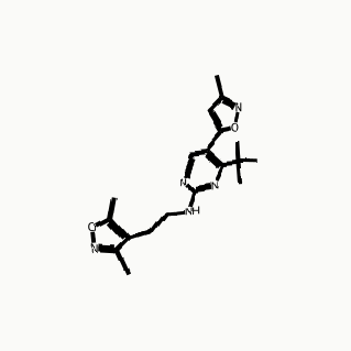 Cc1cc(-c2cnc(NCCc3c(C)noc3C)nc2C(C)(C)C)on1